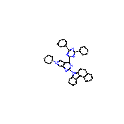 c1ccc(-c2nc(-c3ccccc3)nc(-c3nc(-n4c5ccccc5c5c6ccccc6ccc54)nc4cn(-c5ccccc5)cc34)n2)cc1